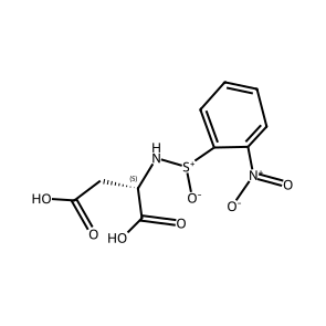 O=C(O)C[C@H](N[S+]([O-])c1ccccc1[N+](=O)[O-])C(=O)O